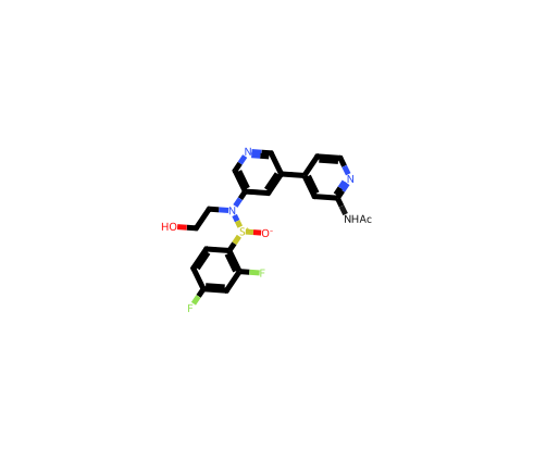 CC(=O)Nc1cc(-c2cncc(N(CCO)[S+]([O-])c3ccc(F)cc3F)c2)ccn1